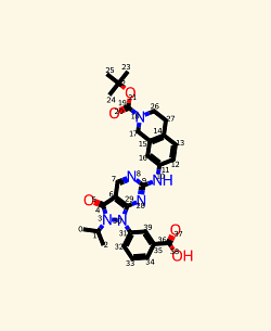 CC(C)n1c(=O)c2cnc(Nc3ccc4c(c3)CN(C(=O)OC(C)(C)C)CC4)nc2n1-c1cccc(C(=O)O)c1